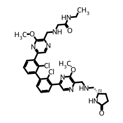 CCNC(=O)CNCc1ncc(-c2cccc(-c3cccc(-c4cnc(CNC[C@@H]5CCC(=O)N5)c(OC)n4)c3Cl)c2Cl)nc1OC